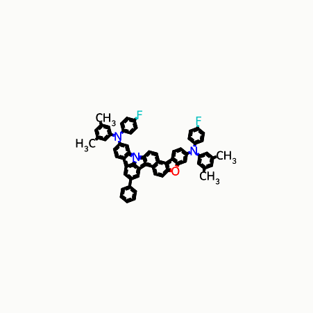 Cc1cc(C)cc(N(c2ccc(F)cc2)c2ccc3c(c2)oc2ccc4c(ccc5c4c4cc(-c6ccccc6)cc6c7ccc(N(c8ccc(F)cc8)c8cc(C)cc(C)c8)cc7n5c64)c23)c1